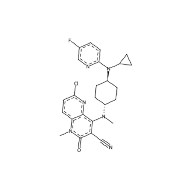 Cn1c(=O)c(C#N)c(N(C)[C@H]2CC[C@H](N(c3ccc(F)cn3)C3CC3)CC2)c2nc(Cl)ccc21